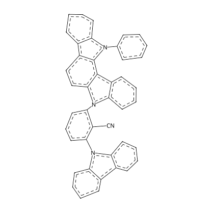 N#Cc1c(-n2c3ccccc3c3ccccc32)cccc1-n1c2ccccc2c2c1ccc1c3ccccc3n(-c3ccccc3)c12